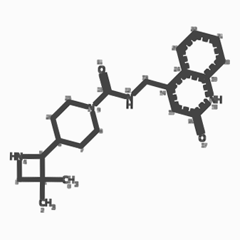 CC1(C)CNC1C1CCN(C(=O)NCc2cc(=O)[nH]c3ccccc23)CC1